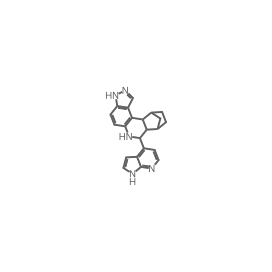 c1cc(C2Nc3ccc4[nH]ncc4c3C3C4CCC(C4)C23)c2cc[nH]c2n1